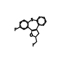 Fc1ccc2c(c1)C1=C(CC(CI)O1)c1ccccc1S2